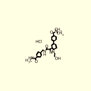 CNC(=O)c1ccc(CNC(=O)c2nn(CCO)c3ccc(-c4ccc(C(=O)N(C)C)cc4)cc23)cc1.Cl